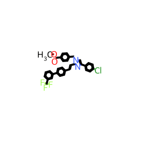 COC(=O)c1ccc(Cn2cc(-c3ccc(Cl)cc3)nc2C=Cc2ccc(-c3cccc(C(F)(F)F)c3)cc2)cc1